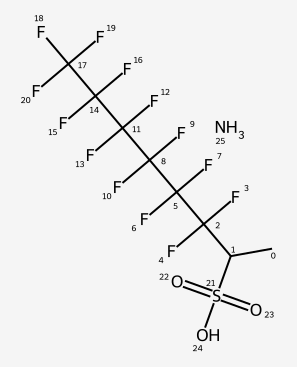 CC(C(F)(F)C(F)(F)C(F)(F)C(F)(F)C(F)(F)C(F)(F)F)S(=O)(=O)O.N